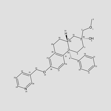 COC[C@@]1(O)CC[C@@]2(Cc3ccccc3)c3ccc(OCc4cccnc4)cc3CC[C@@H]2C1